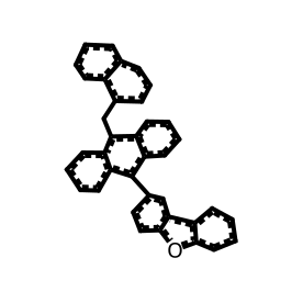 c1ccc2c(Cc3c4ccccc4c(-c4ccc5oc6ccccc6c5c4)c4ccccc34)cccc2c1